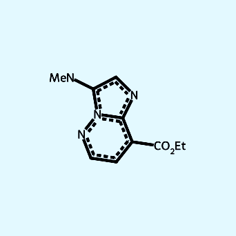 CCOC(=O)c1ccnn2c(NC)cnc12